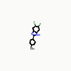 CC(C)(C)c1ccc(-c2nc3cc(F)c(F)cc3[nH]2)cc1